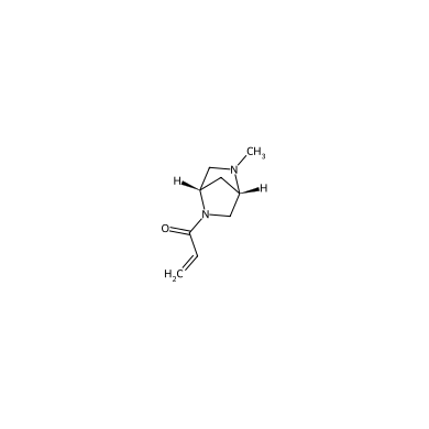 C=CC(=O)N1C[C@@H]2C[C@H]1CN2C